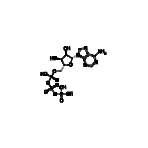 Nc1ncnc2c1ncn2[C@@H]1O[C@H](COP(=O)(O)OS(=O)(=O)OP(=O)(O)O)[C@@H](O)[C@H]1O